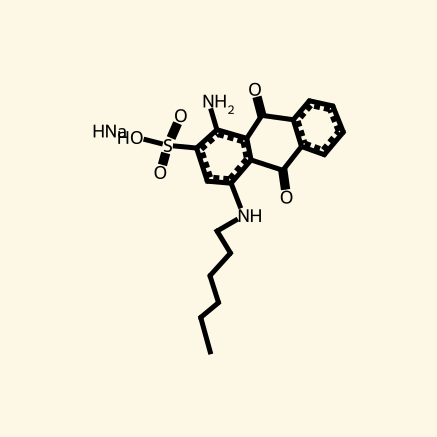 CCCCCCNc1cc(S(=O)(=O)O)c(N)c2c1C(=O)c1ccccc1C2=O.[NaH]